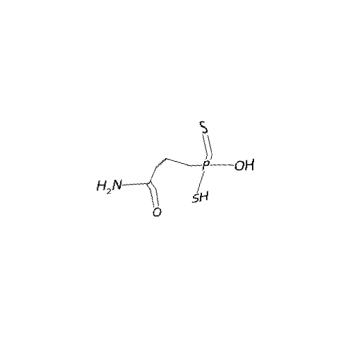 NC(=O)CP(O)(=S)S